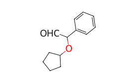 O=CC(OC1CCCC1)c1ccccc1